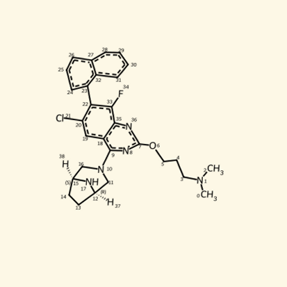 CN(C)CCCOc1nc(N2C[C@H]3CC[C@@H](C2)N3)c2cc(Cl)c(-c3cccc4ccccc34)c(F)c2n1